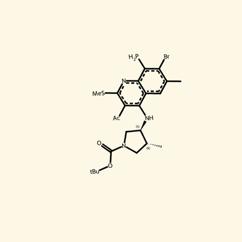 CSc1nc2c(P)c(Br)c(C)cc2c(N[C@@H]2CN(C(=O)OC(C)(C)C)C[C@H]2C)c1C(C)=O